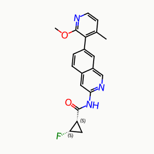 COc1nccc(C)c1-c1ccc2cc(NC(=O)[C@@H]3C[C@@H]3F)ncc2c1